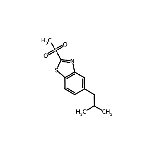 CC(C)Cc1ccc2sc(S(C)(=O)=O)nc2c1